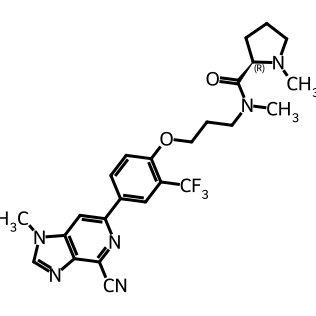 CN(CCCOc1ccc(-c2cc3c(ncn3C)c(C#N)n2)cc1C(F)(F)F)C(=O)[C@H]1CCCN1C